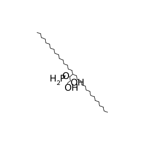 CCCCCCCCCCCCCCCCC(CCCCCCCCCCCCCCC)C(OP)C(O)CO